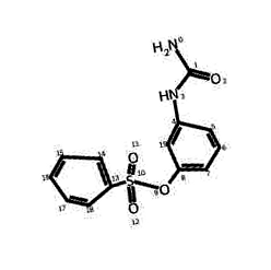 NC(=O)Nc1cccc(OS(=O)(=O)c2ccccc2)c1